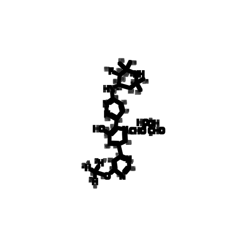 O=CO.O=CO.[2H]C([2H])([2H])Oc1cc(-c2cnc(-c3ccc(N[C@@H]4CC(C)(C)NC(C)(C)[C@@H]4F)nn3)c(O)c2)ncn1